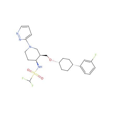 O=S(=O)(N[C@H]1CCN(c2cccnn2)C[C@H]1CO[C@H]1CC[C@@H](c2cccc(F)c2)CC1)C(F)F